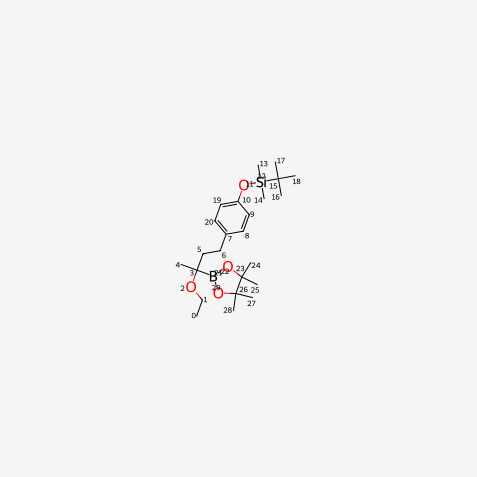 CCOC(C)(CCc1ccc(O[Si](C)(C)C(C)(C)C)cc1)B1OC(C)(C)C(C)(C)O1